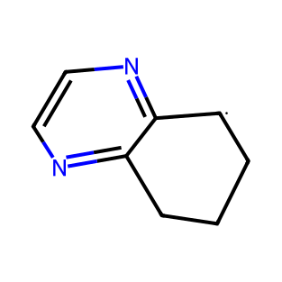 [CH]1CCCc2nccnc21